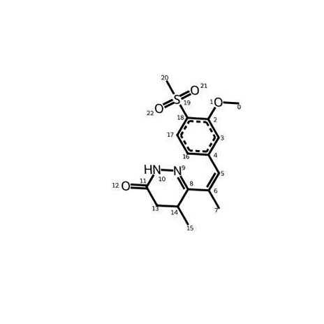 COc1cc(C=C(C)C2=NNC(=O)CC2C)ccc1S(C)(=O)=O